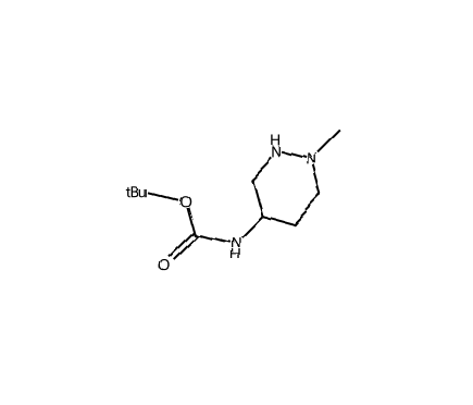 CN1CCC(NC(=O)OC(C)(C)C)CN1